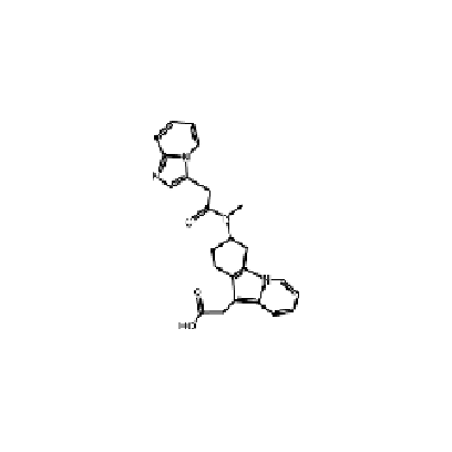 CN(C(=O)Cc1cnc2ccccn12)[C@@H]1CCc2c(CC(=O)O)c3ccccn3c2C1